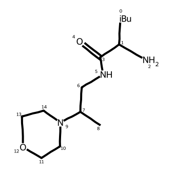 CCC(C)C(N)C(=O)NCC(C)N1CCOCC1